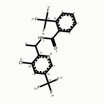 CC(NC(=O)c1ccccc1C(F)(F)F)c1ncc(C(F)(F)F)cc1Cl